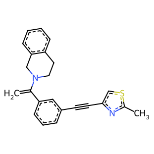 C=C(c1cccc(C#Cc2csc(C)n2)c1)N1CCc2ccccc2C1